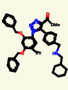 COC(=O)c1nnn(-c2cc(C(C)C)c(OCc3ccccc3)cc2OCc2ccccc2)c1-c1ccc(CNCC2CCCCC2)cc1